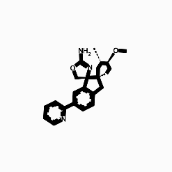 CO[C@H]1CC[C@@]2(Cc3ccc(-c4ccccn4)cc3[C@@]23COC(N)=N3)C[C@@H]1C